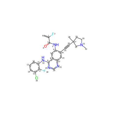 C=C(F)C(=O)Nc1cc2c(Nc3cccc(Cl)c3F)ncnc2cc1C#CC1(C)CCN(C)C1